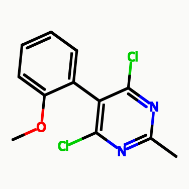 COc1ccccc1-c1c(Cl)nc(C)nc1Cl